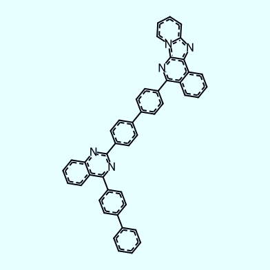 c1ccc(-c2ccc(-c3nc(-c4ccc(-c5ccc(-c6nc7c(nc8ccccn87)c7ccccc67)cc5)cc4)nc4ccccc34)cc2)cc1